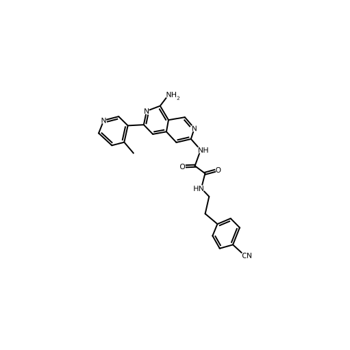 Cc1ccncc1-c1cc2cc(NC(=O)C(=O)NCCc3ccc(C#N)cc3)ncc2c(N)n1